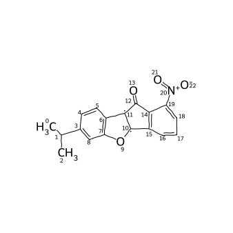 CC(C)c1ccc2c(c1)O[C]1[C]2C(=O)c2c1cccc2[N+](=O)[O-]